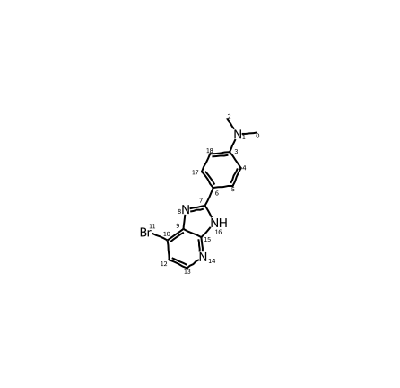 CN(C)c1ccc(-c2nc3c(Br)ccnc3[nH]2)cc1